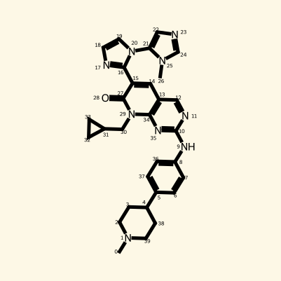 CN1CCC(c2ccc(Nc3ncc4cc(-c5nccn5-c5cncn5C)c(=O)n(CC5CC5)c4n3)cc2)CC1